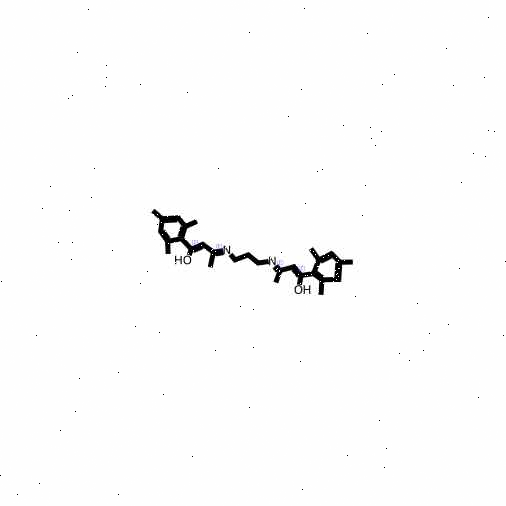 CC(/C=C(\O)c1c(C)cc(C)cc1C)=N\CCC/N=C(C)/C=C(\O)c1c(C)cc(C)cc1C